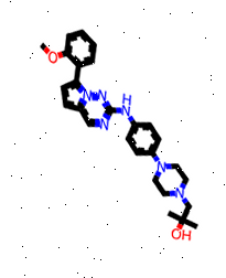 COc1ccccc1-c1ccc2cnc(Nc3ccc(N4CCN(CC(C)(C)O)CC4)cc3)nn12